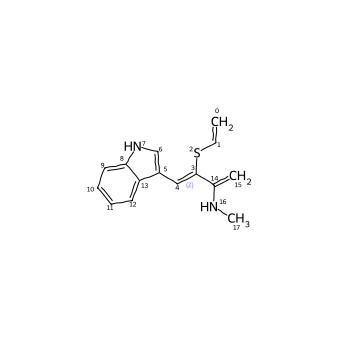 C=CS/C(=C\c1c[nH]c2ccccc12)C(=C)NC